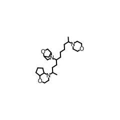 CC(CCCCC(CCC(C)N1CCOC2CCCC21)N1CC2CC1CO2)N1CCOCC1